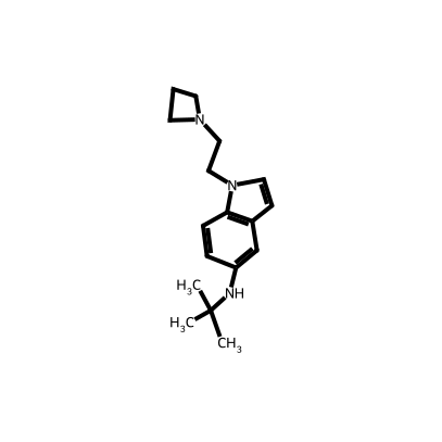 CC(C)(C)Nc1ccc2c(ccn2CCN2CCC2)c1